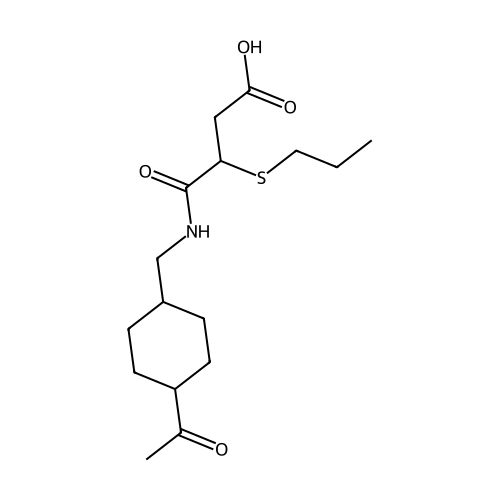 CCCSC(CC(=O)O)C(=O)NCC1CCC(C(C)=O)CC1